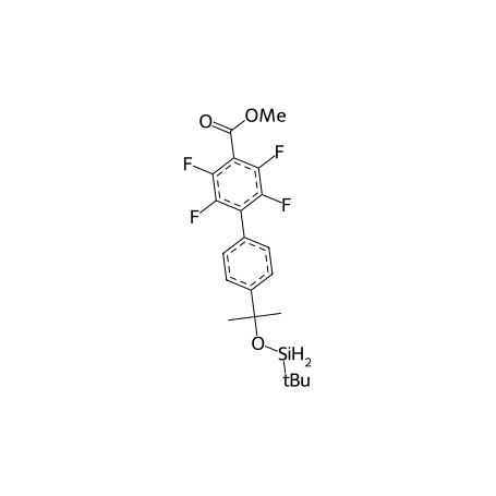 COC(=O)c1c(F)c(F)c(-c2ccc(C(C)(C)O[SiH2]C(C)(C)C)cc2)c(F)c1F